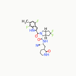 Cc1cc(F)c2cc(C(=O)N3C[C@@H]4CC(F)(F)C[C@@H]4[C@@H]3C(=O)N[C@@H](C#N)C[C@@H]3CCCNC3=O)[nH]c2c1F